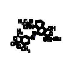 Cc1cc(/N=N/c2cc(S(=O)(=O)NC(C)(C)C)c(O)c3cccc(NS(C)(=O)=O)c23)cc(C)c1S(=O)(=O)Cl